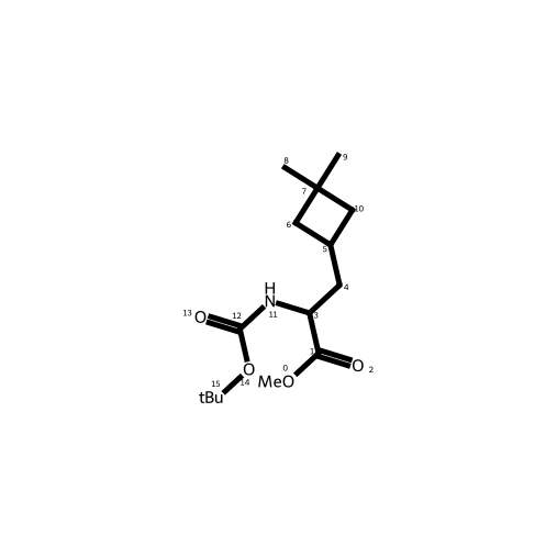 COC(=O)C(CC1CC(C)(C)C1)NC(=O)OC(C)(C)C